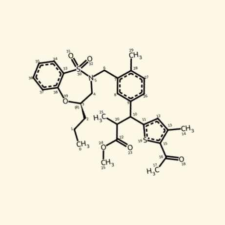 CCC[C@@H]1CN(Cc2cc(C(c3cc(C)c(C(C)=O)s3)C(C)C(=O)OC)ccc2C)S(=O)(=O)c2ccccc2O1